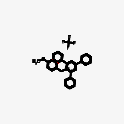 COc1ccc(C[n+]2c(-c3ccccc3)cc(-c3ccccc3)cc2-c2ccccc2)cc1.F[B-](F)(F)F